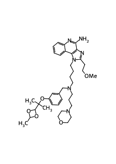 COCCc1nc2c(N)nc3ccccc3c2n1CCCCN(CCCN1CCOCC1)Cc1cccc(OC(C)(C)C2OC(C)O2)c1